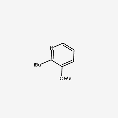 CCC(C)c1ncccc1OC